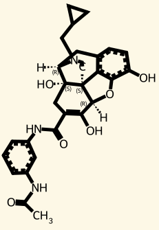 CC(=O)Nc1cccc(NC(=O)C2=C(O)[C@@H]3Oc4c(O)ccc5c4[C@@]34CCN(CC3CC3)[C@H](C5)[C@]4(O)C2)c1